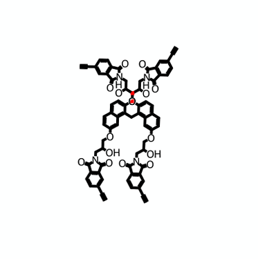 C#Cc1ccc2c(c1)C(=O)N(CC(O)COc1ccc3ccc(OCC(O)CN4C(=O)c5ccc(C#C)cc5C4=O)c(Cc4c(OCC(O)CN5C(=O)c6ccc(C#C)cc6C5=O)ccc5ccc(OCC(O)CN6C(=O)c7ccc(C#C)cc7C6=O)cc45)c3c1)C2=O